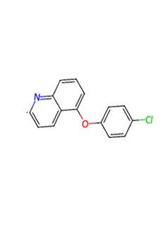 Clc1ccc(Oc2cccc3n[c]ccc23)cc1